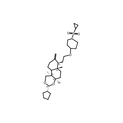 C=C1CCC2[C@]3(C)CO[C@@H](C4CCCC4)O[C@@H]3CC[C@@]2(C)[C@@H]1CCOC1CCN(S(=O)(=O)C2CC2)CC1